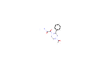 CC(C)C(=O)N1CCN(C(=O)C(N)=O)C(c2ccccc2)C1